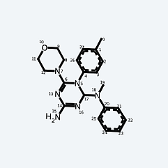 Cc1ccc(N2C(N3CCOCC3)=NC(N)=NC2N(C)c2ccccc2)cc1